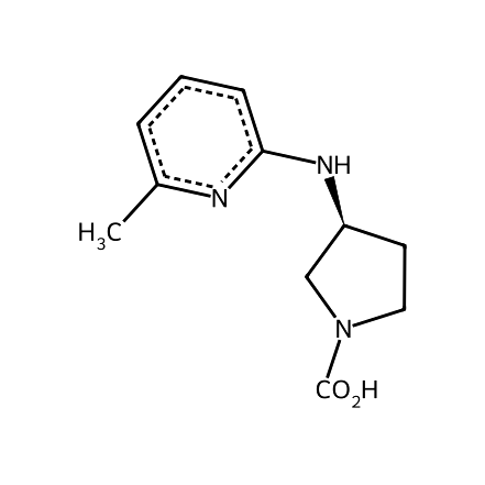 Cc1cccc(N[C@H]2CCN(C(=O)O)C2)n1